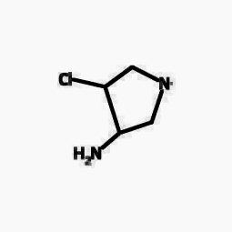 NC1C[N]CC1Cl